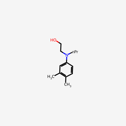 CCCN(CCO)c1ccc(C)c(C)c1